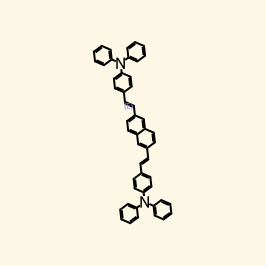 C(=Cc1ccc2cc(/C=C/c3ccc(N(c4ccccc4)c4ccccc4)cc3)ccc2c1)c1ccc(N(c2ccccc2)c2ccccc2)cc1